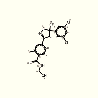 Cc1cc(C2=NOC(c3cc(Cl)cc(Cl)c3)(C(F)(F)F)C2)ccc1C(=O)NCC#N